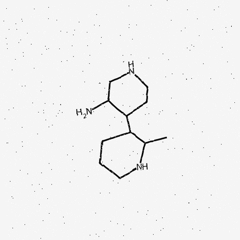 CC1NCCCC1C1CCNCC1N